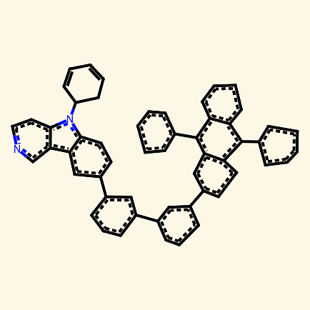 C1=CCC(n2c3ccncc3c3cc(-c4cccc(-c5cccc(-c6ccc7c(-c8ccccc8)c8ccccc8c(-c8ccccc8)c7c6)c5)c4)ccc32)C=C1